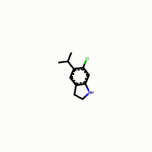 CC(C)c1cc2c(cc1Cl)NCC2